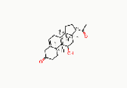 CC(=O)[C@H]1CC[C@H]2[C@@H]3CC=C4CC(=O)CC[C@]4(C)[C@H]3C(O)C[C@]12C